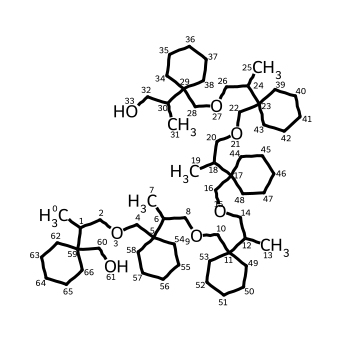 CC(COCC1(C(C)COCC2(C(C)COCC3(C(C)COCC4(C(C)COCC5(C(C)CO)CCCCC5)CCCCC4)CCCCC3)CCCCC2)CCCCC1)C1(CO)CCCCC1